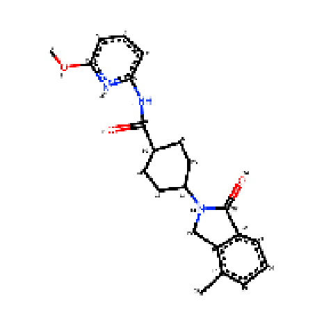 COc1cccc(NC(=O)C2CCC(N3Cc4c(C)cccc4C3=O)CC2)n1